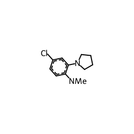 CNc1ccc(Cl)cc1N1CCCC1